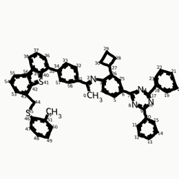 C/C(=N\c1ccc(-c2nc(-c3ccccc3)nc(-c3ccccc3)n2)cc1C1CCC1)c1ccc(-c2cccc3c2sc2c(CSc4ccccc4C)cccc23)cc1